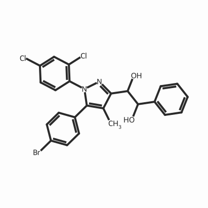 Cc1c(C(O)C(O)c2ccccc2)nn(-c2ccc(Cl)cc2Cl)c1-c1ccc(Br)cc1